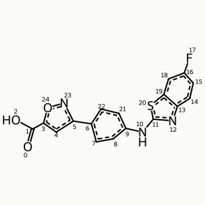 O=C(O)c1cc(-c2ccc(Nc3nc4ccc(F)cc4s3)cc2)no1